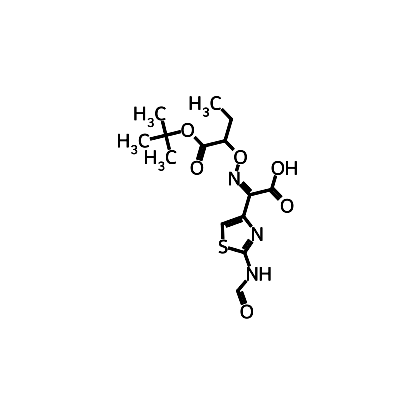 CCC(ON=C(C(=O)O)c1csc(NC=O)n1)C(=O)OC(C)(C)C